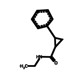 [CH2]CNC(=O)C1CC1c1ccccc1